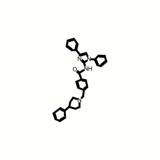 O=C(Nc1nc(-c2ccccc2)cn1-c1ccccc1)c1ccc(CN2CCC(c3ccccc3)CC2)cc1